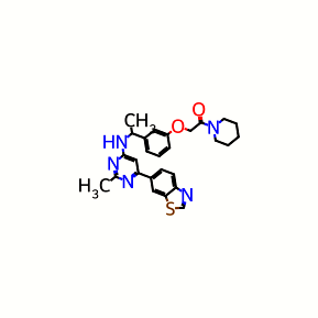 Cc1nc(NC(C)c2cccc(OCC(=O)N3CCCCC3)c2)cc(-c2ccc3ncsc3c2)n1